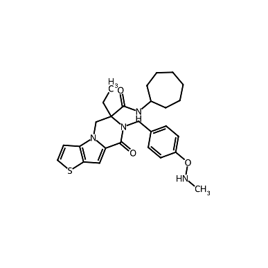 CCC1(C(=O)NC2CCCCCC2)Cn2c(cc3sccc32)C(=O)N1Cc1ccc(ONC)cc1